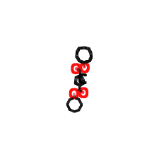 O=C(Oc1ccccccccc1)c1ccc(C(=O)OC2CCCCCCC2)cc1